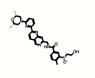 Cc1ccc(C(=O)NCc2cc3nc(-c4cccc(N5C[C@@H](C)O[C@@H](C)C5)n4)ccc3cn2)cc1[S@@+]([O-])CCO